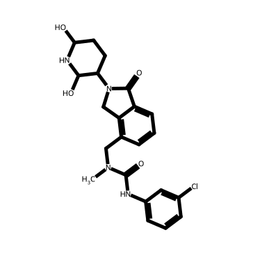 CN(Cc1cccc2c1CN(C1CCC(O)NC1O)C2=O)C(=O)Nc1cccc(Cl)c1